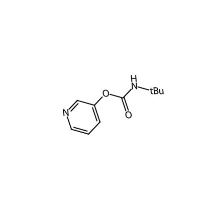 CC(C)(C)NC(=O)Oc1cccnc1